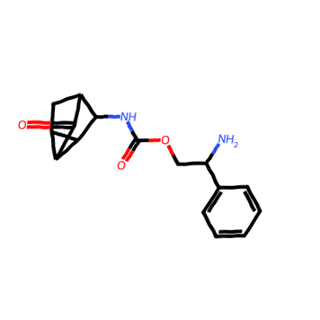 NC(COC(=O)NC1C2CC3C(C2=O)C31)c1ccccc1